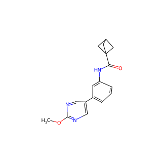 COc1ncc(-c2cccc(NC(=O)C34CC(C3)C4)c2)cn1